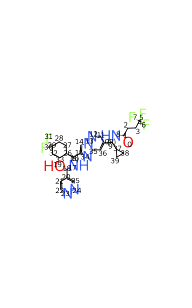 O=C(CCC(F)(F)F)N[C@@H](c1cnn2cc([C@@H](NC(O)c3ccnnc3)C3CCC(F)(F)CC3)nc2c1)C1CC1